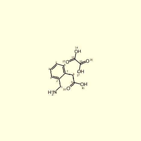 NCc1ccccc1CC(=O)O.O=C(O)C(=O)O